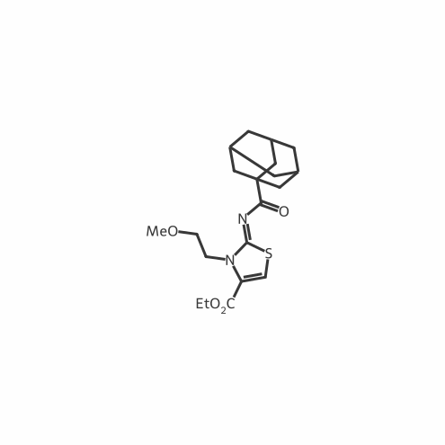 CCOC(=O)c1cs/c(=N\C(=O)C23CC4CC(CC(C4)C2)C3)n1CCOC